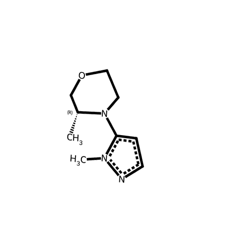 C[C@@H]1COCCN1c1ccnn1C